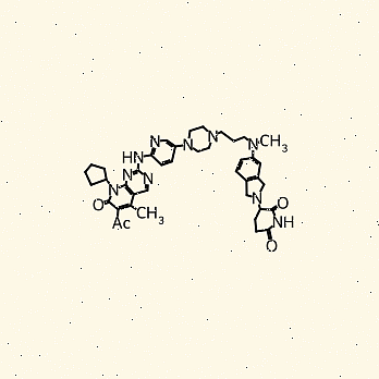 CC(=O)c1c(C)c2cnc(Nc3ccc(N4CCN(CCCN(C)c5ccc6c(c5)CN(C5CCC(=O)NC5=O)C6)CC4)cn3)nc2n(C2CCCC2)c1=O